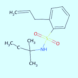 C=CCc1ccccc1S(=O)(=O)NC(C)(C)CC